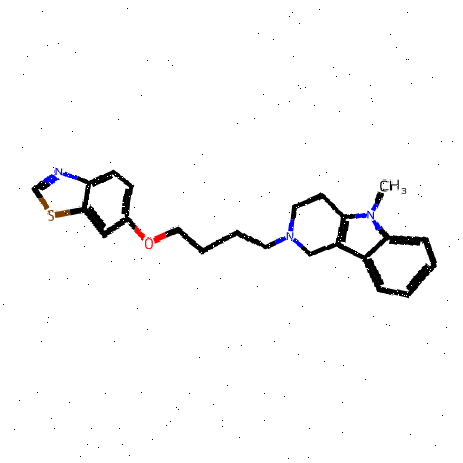 Cn1c2c(c3ccccc31)CN(CCCCOc1ccc3ncsc3c1)CC2